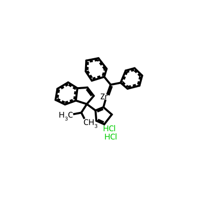 CC(C)C1(C2=[C]([Zr]=[C](c3ccccc3)c3ccccc3)CC=C2)C=Cc2ccccc21.Cl.Cl